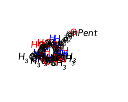 CCCCCOc1ccc(-c2ccc(-c3ccc(C(=O)N[C@H]4C[C@@H](O)C(NCC[N+](C)(C)C)NC(=O)[C@@H]5[C@@H](O)[C@@H](C)CN5C(=O)[C@H]([C@@H](C)O)NC(=O)[C@H]([C@H](O)[C@@H](O)c5ccc(C)c(C)c5)NC(=O)[C@@H]5C[C@@H](O)CN5C(=O)[C@H]([C@@H](C)O)NC4=O)cc3)cc2)cc1